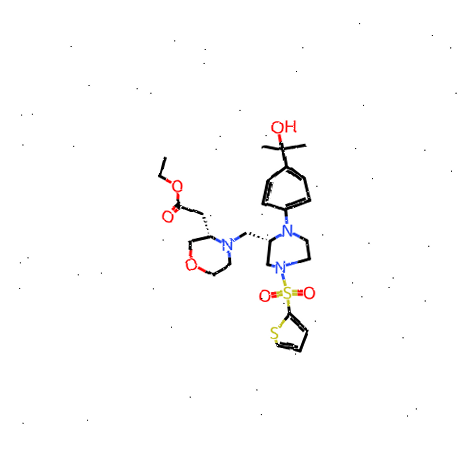 CCOC(=O)C[C@H]1COCCN1C[C@H]1CN(S(=O)(=O)c2cccs2)CCN1c1ccc(C(C)(C)O)cc1